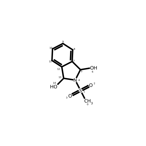 CS(=O)(=O)N1C(O)c2ccccc2C1O